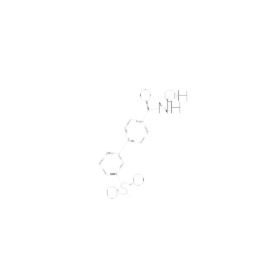 CS(=O)(=O)c1cccc(-c2ccc(C(=O)NO)cc2)c1